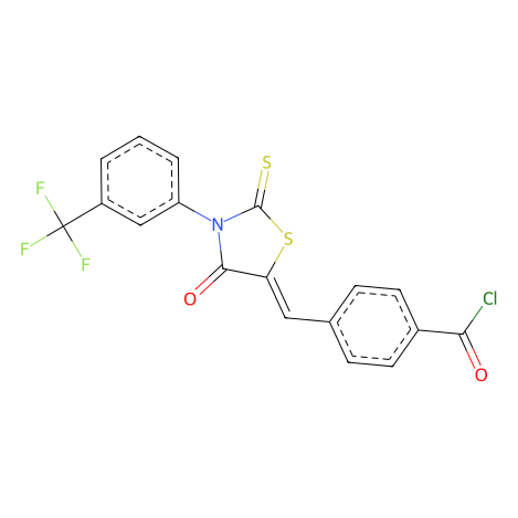 O=C(Cl)c1ccc(/C=C2\SC(=S)N(c3cccc(C(F)(F)F)c3)C2=O)cc1